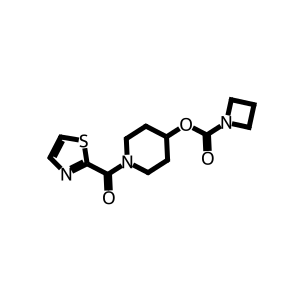 O=C(OC1CCN(C(=O)c2nccs2)CC1)N1CCC1